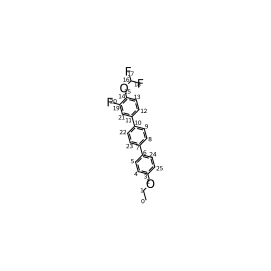 CCOc1ccc(-c2ccc(-c3ccc(OC(F)F)c(F)c3)cc2)cc1